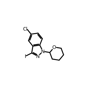 Clc1ccc2c(c1)c(I)nn2C1CCCCO1